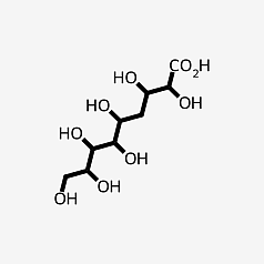 O=C(O)C(O)C(O)CC(O)C(O)C(O)C(O)CO